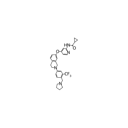 O=C(Nc1cc(Oc2ccc3c(c2)CN(c2ccc(CN4CCCC4)c(C(F)(F)F)c2)CC3)ccn1)C1CC1